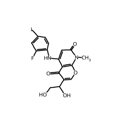 Cn1c(=O)cc(Nc2ccc(I)cc2F)c2c(=O)c(C(O)CO)coc21